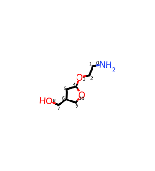 NCCOC1CC(CO)CO1